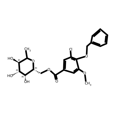 COc1cc(C(=O)OC[C@H]2OC(C)[C@H](O)[C@@H](O)[C@H]2O)cc(Cl)c1OCc1ccccc1